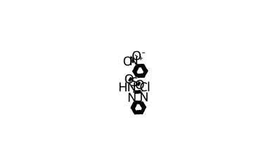 O=[N+]([O-])c1cccc(S(=O)(=O)Nc2nc3ccccc3nc2Cl)c1